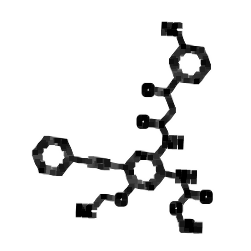 CC(C)(C)OC(=O)Nc1cc(OCC#N)c(C#Cc2ccccc2)cc1NC(=O)CC(=O)c1cccc(C#N)c1